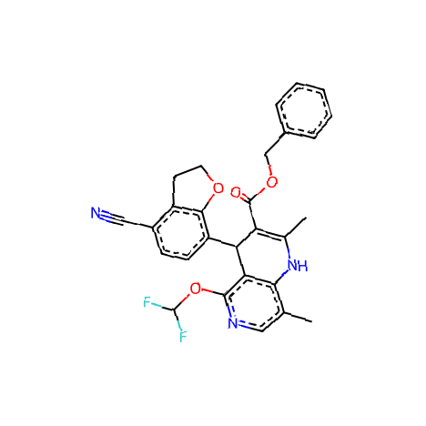 CC1=C(C(=O)OCc2ccccc2)C(c2ccc(C#N)c3c2OCC3)c2c(OC(F)F)ncc(C)c2N1